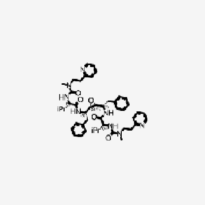 CC(C)[C@H](NC(=O)N(C)CCc1ccccn1)C(=O)N[C@@H](Cc1ccccc1)[C@@H]1O[C@@H]1[C@H](Cc1ccccc1)NC(=O)[C@@H](NC(=O)N(C)CCc1ccccn1)C(C)C